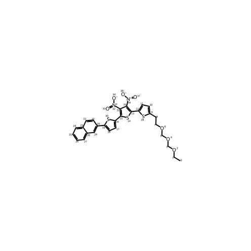 CCOCOCOCCc1ccc(-c2sc(-c3ccc(-c4ccc5ccccc5c4)s3)c([N+](=O)[O-])c2[N+](=O)[O-])s1